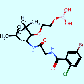 CC(C)C[C@@H](NC(=O)CNC(=O)c1cc(Br)ccc1Cl)C(OCCOB(O)O)C(C)(C)C